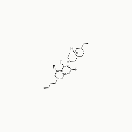 C=CCCc1cc(F)c2c(F)c([C@@H]3CC[C@@H]4CC(CC)CCC4C3)c(F)cc2c1